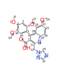 COc1ccc(-c2c(C(=O)O)c(Cn3cncn3)nc3ccc(OC)c(OC)c23)cc1OC